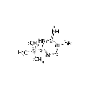 CCCN1CN=C([Si](C)(C)C)NC1=N